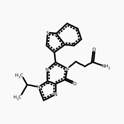 CC(C)n1cnc2c(=O)n(CCC(N)=O)c(-c3csc4ccccc34)nc21